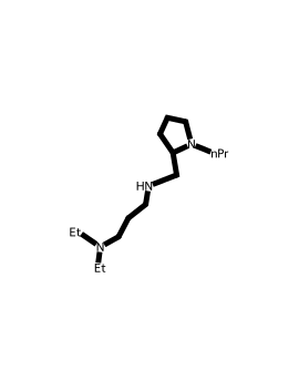 CCCN1CCCC1CNCCCN(CC)CC